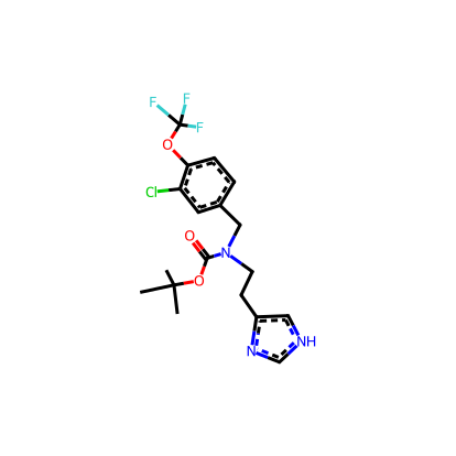 CC(C)(C)OC(=O)N(CCc1c[nH]cn1)Cc1ccc(OC(F)(F)F)c(Cl)c1